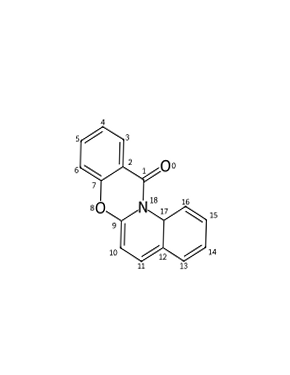 O=C1c2ccccc2OC2=CC=C3C=CC=CC3N12